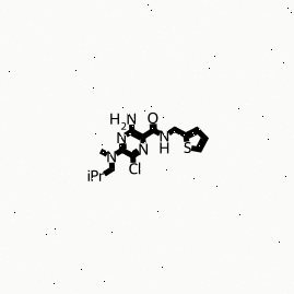 CC(C)CN(C)c1nc(N)c(C(=O)NCc2cccs2)nc1Cl